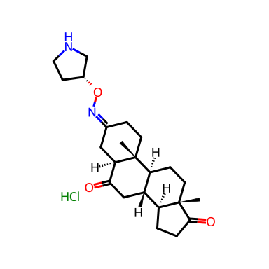 C[C@]12CCC(=NO[C@@H]3CCNC3)C[C@@H]1C(=O)C[C@@H]1[C@@H]2CC[C@]2(C)C(=O)CC[C@@H]12.Cl